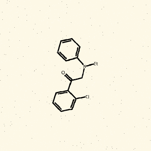 CCN(CC(=O)c1ccccc1Cl)c1ccccc1